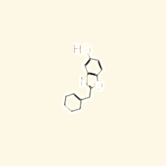 Oc1ccc2oc(CC3=CCCCC3)nc2c1